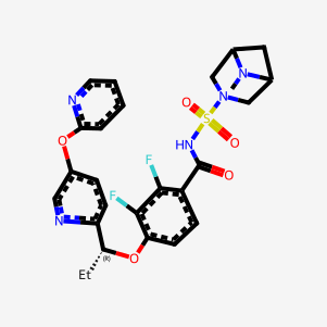 CC[C@@H](Oc1ccc(C(=O)NS(=O)(=O)N2CC3CC(C2)N3C)c(F)c1F)c1ccc(Oc2ccccn2)cn1